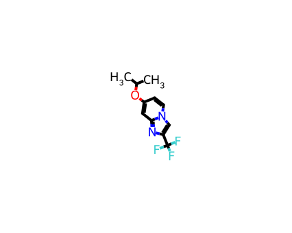 CC(C)Oc1ccn2cc(C(F)(F)F)nc2c1